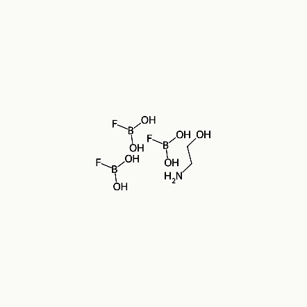 NCCO.OB(O)F.OB(O)F.OB(O)F